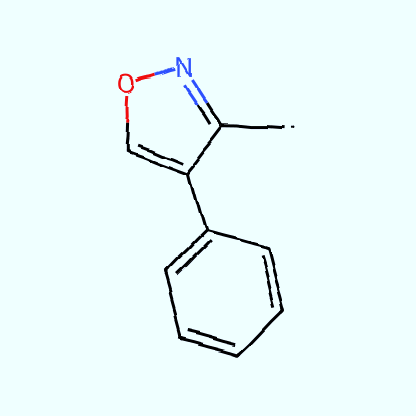 [CH2]c1nocc1-c1ccccc1